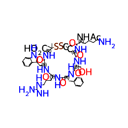 CC(=O)N[C@H](CCCCN)C(=O)N[C@H]1CCSSC(C)(C)[C@@H](C(=O)O)NC(=O)[C@H](Cc2c[nH]c3ccccc23)NC(=O)[C@H](CCCNC(=N)N)NC(=O)[C@@H](Cc2ccccc2)NC(=O)[C@H](CO)NC1=O